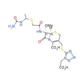 CO[C@@]1(NC(=O)CSC(C)NC(N)=O)C(=O)N2C(C(=O)O)=C(CSc3nnnn3CC(=O)O)CS[C@@H]21